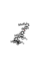 COc1ccccc1CNC(=O)Cc1cccc(C[C@@H](C)NC[C@H](O)c2ccc(O)c(NS(C)(=O)=O)c2)c1